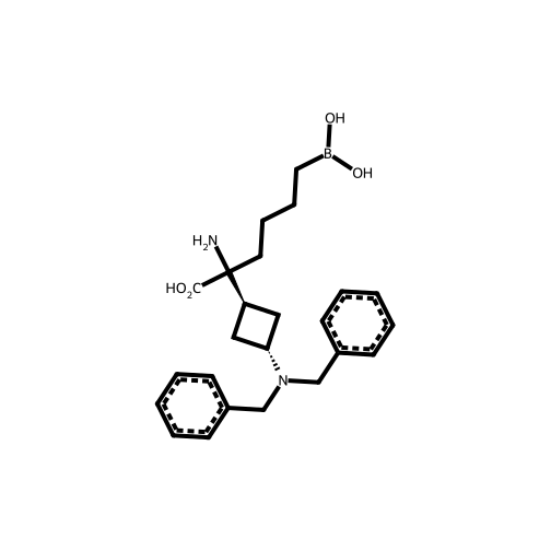 NC(CCCCB(O)O)(C(=O)O)[C@H]1C[C@H](N(Cc2ccccc2)Cc2ccccc2)C1